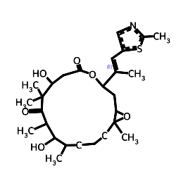 C/C(=C\c1cnc(C)s1)C1CC2OC2(C)CCCC(C)C(O)C(C)C(=O)C(C)(C)C(O)CC(=O)O1